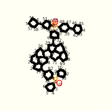 O=P(c1ccccc1)(c1ccccc1)c1ccc(-c2ccc3ccc4ccc(-c5cc(-c6ccc(P(=O)(c7ccc(-c8ccccc8)cc7)c7ccc(-c8ccccc8)cc7)cc6)c6ccc7cccc8ccc5c6c78)c5ccc2c3c45)cc1